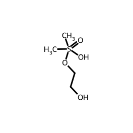 CS(C)(=O)(O)OCCO